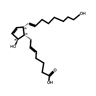 O=C(O)CCCC=CC[C@H]1[C@@H](C=CCCCCCCO)C=C[C@@H]1O